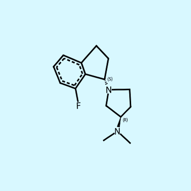 CN(C)[C@@H]1CCN([C@H]2CCc3cccc(F)c32)C1